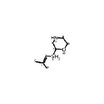 CC(C)=C[SiH2]C1CNCCO1